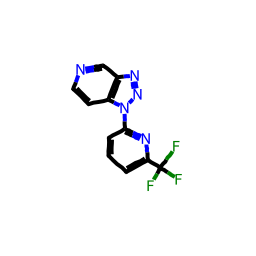 FC(F)(F)c1cccc(-n2nnc3cnccc32)n1